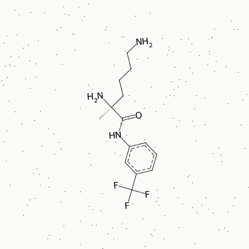 C[C@](N)(CCCCN)C(=O)Nc1cccc(C(F)(F)F)c1